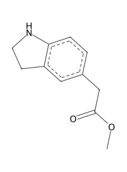 COC(=O)Cc1ccc2c(c1)CCN2